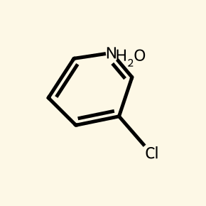 Clc1cccnc1.O